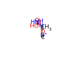 C[C@@H](Cc1ccc(OCCC[N+]23CCC(CC2)CC3)cc1)NCCc1cc(O)cc2c1OCC(=O)N2